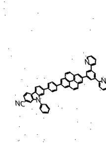 N#Cc1ccc2c3ccc(-c4ccc(-c5cc6ccc7cc(-c8cc(-c9ccccn9)cc(-c9ccccn9)c8)cc8ccc(c5)c6c78)cc4)cc3n(-c3ccccc3)c2c1